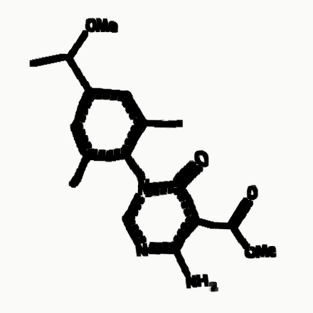 COC(=O)c1c(N)ncn(-c2c(C)cc(C(C)OC)cc2C)c1=O